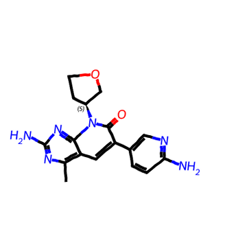 Cc1nc(N)nc2c1cc(-c1ccc(N)nc1)c(=O)n2[C@H]1CCOC1